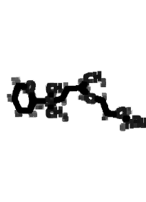 CCCCOCCOC(C)CC[Si](C)(C)C1CCCCO1